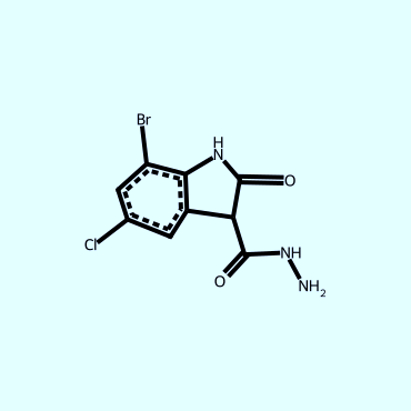 NNC(=O)C1C(=O)Nc2c(Br)cc(Cl)cc21